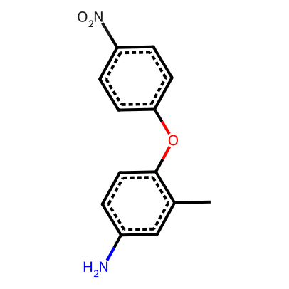 Cc1cc(N)ccc1Oc1ccc([N+](=O)[O-])cc1